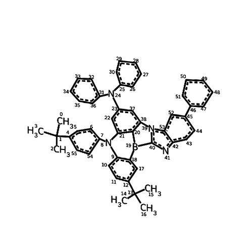 CC(C)(C)c1ccc(N2c3ccc(C(C)(C)C)cc3B3c4c2cc(N(c2ccccc2)c2ccccc2)cc4-n2c3nc3ccc(-c4ccccc4)cc32)cc1